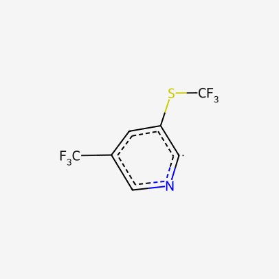 FC(F)(F)Sc1[c]ncc(C(F)(F)F)c1